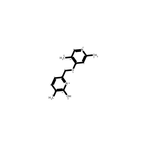 Cc1cc(OCc2ccc(C)c(O)n2)c(C)cn1